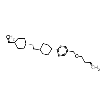 C=CCCOCc1ccc([C@H]2CC[C@H](CC[C@H]3CC[C@H](C=C)CC3)CC2)cc1